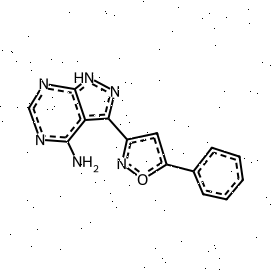 Nc1ncnc2[nH]nc(-c3cc(-c4ccccc4)on3)c12